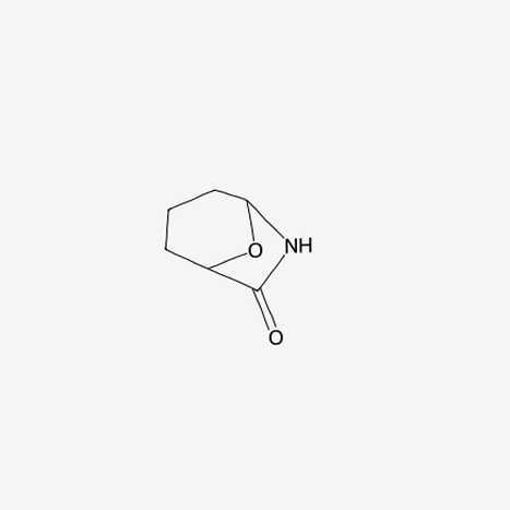 O=C1NC2CCCC1O2